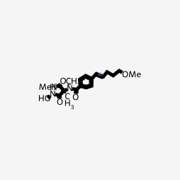 CNC(=O)[C@@](C)(C(=O)NO)N(C)C(=O)c1ccc(/C=C/CCCOC)cc1